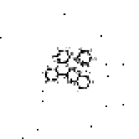 c1ccc(-c2nc3ccccc3nc2-c2ccccc2-c2ccccn2)cc1